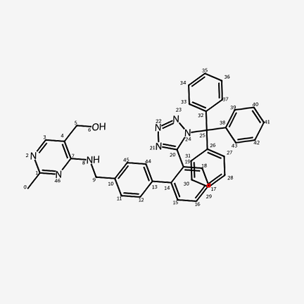 Cc1ncc(CO)c(NCc2ccc(-c3ccccc3-c3nnnn3C(c3ccccc3)(c3ccccc3)c3ccccc3)cc2)n1